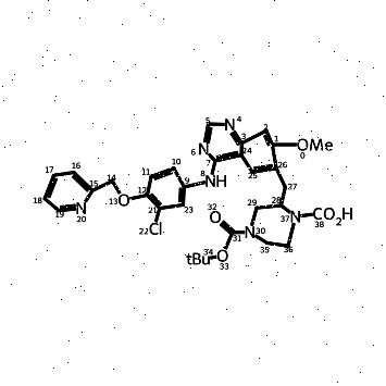 COc1cc2ncnc(Nc3ccc(OCc4ccccn4)c(Cl)c3)c2cc1CC1CN(C(=O)OC(C)(C)C)CCN1C(=O)O